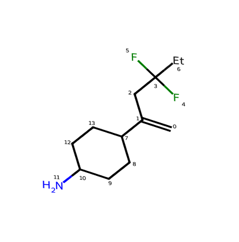 C=C(CC(F)(F)CC)C1CCC(N)CC1